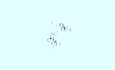 Cc1ccc(S(=O)(=O)O)c(CCCCSc2cccc3c2CN(C2CCC(=O)NC2=O)C3=O)c1